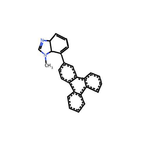 CN1C=NC2C=CC=C(c3ccc4c5ccccc5c5ccccc5c4c3)C21